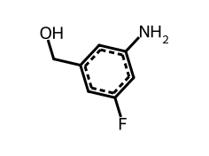 Nc1cc(F)cc(CO)c1